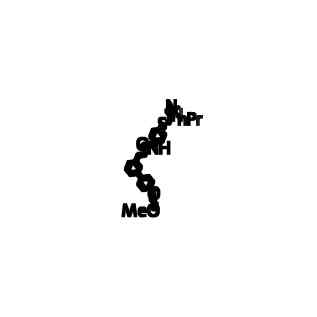 CCCn1cncc1CSc1ccc(NC(=O)/C=C/c2cccc(-c3ccc(OCCOC)cc3)c2)cc1